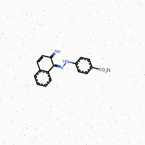 CCOC(=O)c1ccc(N/N=C2\C(=N)C=Cc3ccccc32)cc1